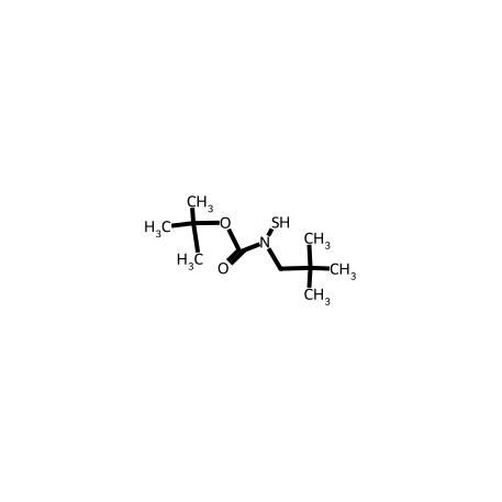 CC(C)(C)CN(S)C(=O)OC(C)(C)C